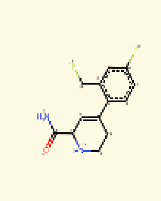 NC(=O)C1C=C(c2ccc(F)cc2CF)CCN1